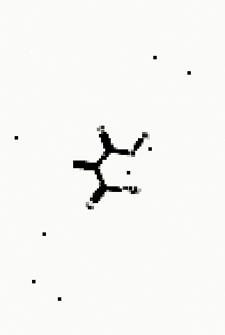 C=C(C(=O)OC)C(=O)OCC